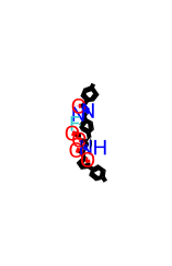 Cc1ccc(-c2ccc(C(=O)N[C@H](Cc3ccc(-c4noc(-c5ccc(C)cc5)n4)c(F)c3)OC=O)o2)cc1